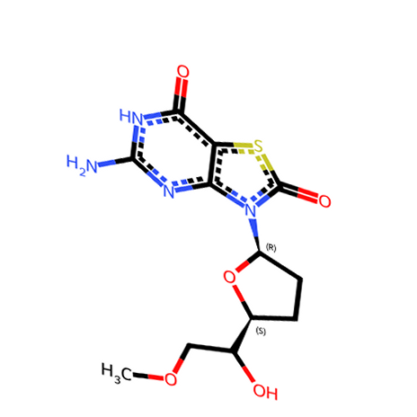 COCC(O)[C@@H]1CC[C@H](n2c(=O)sc3c(=O)[nH]c(N)nc32)O1